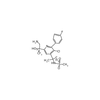 CC(C)(NS(C)(=O)=O)c1cc([C@](O)(CN)C(F)(F)F)nc(-c2ccc(F)cc2)c1Cl